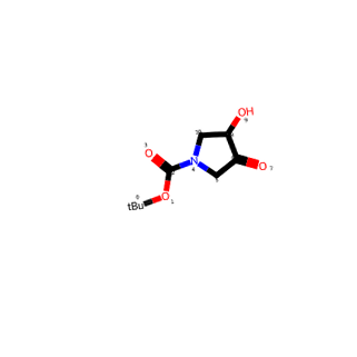 CC(C)(C)OC(=O)N1CC(=O)C(O)C1